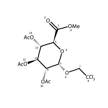 COC(=O)[C@H]1O[C@H](OCC(Cl)(Cl)Cl)[C@H](OC(C)=O)[C@@H](OC(C)=O)[C@@H]1OC(C)=O